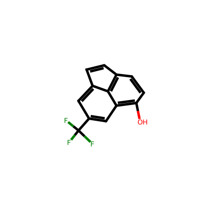 Oc1ccc2c3c(cc(C(F)(F)F)cc13)C=C2